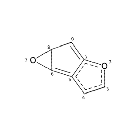 C1=c2occc2=C2OC12